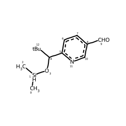 C[SiH](C)OC(c1ccc(C=O)cn1)C(C)(C)C